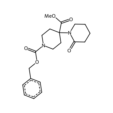 COC(=O)C1(N2CCCCC2=O)CCN(C(=O)OCc2ccccc2)CC1